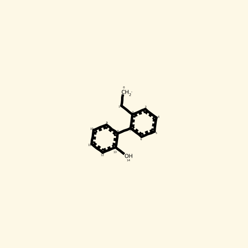 [CH2]Cc1ccccc1-c1ccccc1O